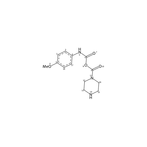 COc1ccc(NC(=O)OC(=O)N2CCNCC2)cc1